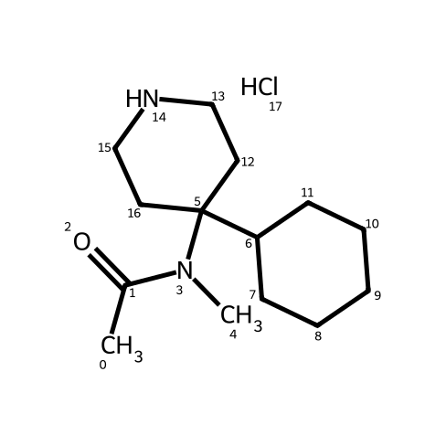 CC(=O)N(C)C1(C2CCCCC2)CCNCC1.Cl